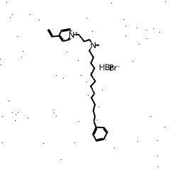 Br.C=Cc1cc[n+](CCCN(C)CCCCCCCCCCCCCc2ccccc2)cc1.[Br-]